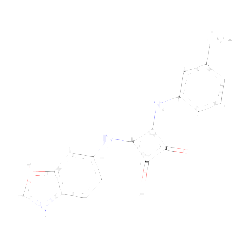 COc1cccc(Nc2c(Nc3ccc4ncoc4c3)c(=O)c2=O)c1